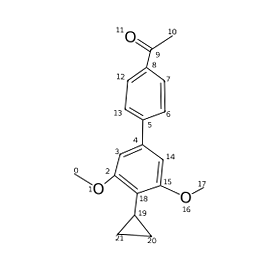 COc1cc(-c2ccc(C(C)=O)cc2)cc(OC)c1C1CC1